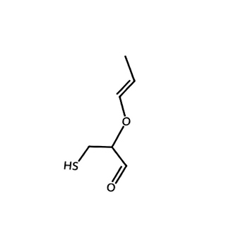 CC=COC(C=O)CS